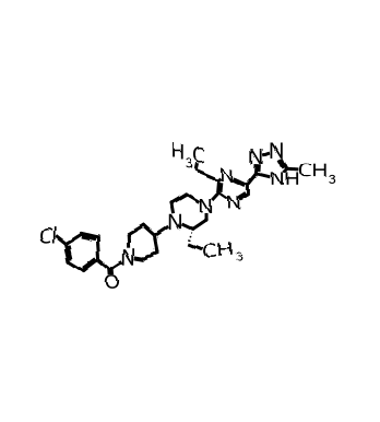 CCc1nc(-c2nnc(C)[nH]2)cnc1N1CCN(C2CCN(C(=O)c3ccc(Cl)cc3)CC2)[C@@H](CC)C1